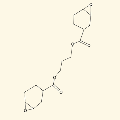 O=C(OCCCOC(=O)C1CCC2OC2C1)C1CCC2OC2C1